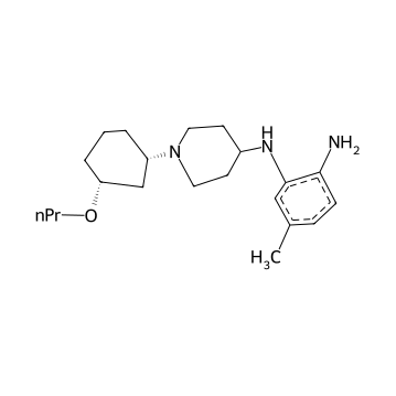 CCCO[C@@H]1CCC[C@H](N2CCC(Nc3cc(C)ccc3N)CC2)C1